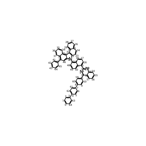 c1ccc(-c2ccc(-c3ccc(-c4nc(-c5cccc6c(-n7c8ccc9ccccc9c8c8c9ccccc9c(-c9ccccc9)cc87)cccc56)nc5ccccc45)cc3)cc2)cc1